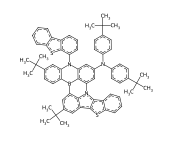 CC(C)(C)c1ccc(N(c2ccc(C(C)(C)C)cc2)c2cc3c4c(c2)-n2c5c(cc(C(C)(C)C)cc5c5sc6ccccc6c52)B4c2ccc(C(C)(C)C)cc2N3c2cccc3c2sc2ccccc23)cc1